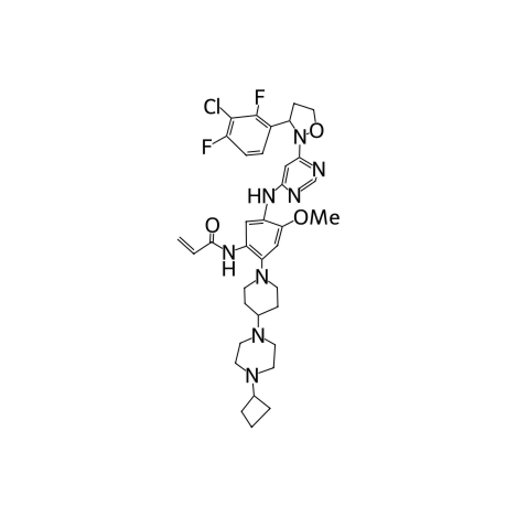 C=CC(=O)Nc1cc(Nc2cc(N3OCCC3c3ccc(F)c(Cl)c3F)ncn2)c(OC)cc1N1CCC(N2CCN(C3CCC3)CC2)CC1